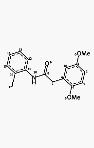 COc1ccc(OC)c(CC(=O)Nc2ccccc2I)c1